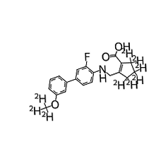 [2H]C([2H])([2H])Oc1cccc(-c2ccc(NCC3=C(C(=O)O)C([2H])([2H])C([2H])([2H])C3([2H])[2H])c(F)c2)c1